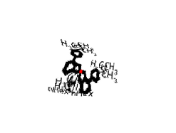 CCCCCC[Si](CCCCCC)=[Hf]([CH3])([CH3])([CH]1C=Cc2c(-c3ccc([Si](C)(C)C)cc3)cccc21)[CH]1C=Cc2c(-c3ccc([Si](C)(C)C)cc3)cccc21